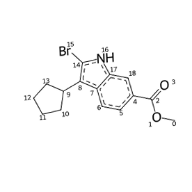 COC(=O)c1ccc2c(C3CCCC3)c(Br)[nH]c2c1